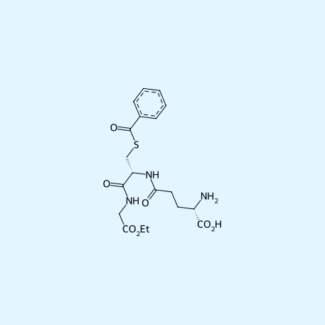 CCOC(=O)CNC(=O)[C@H](CSC(=O)c1ccccc1)NC(=O)CC[C@H](N)C(=O)O